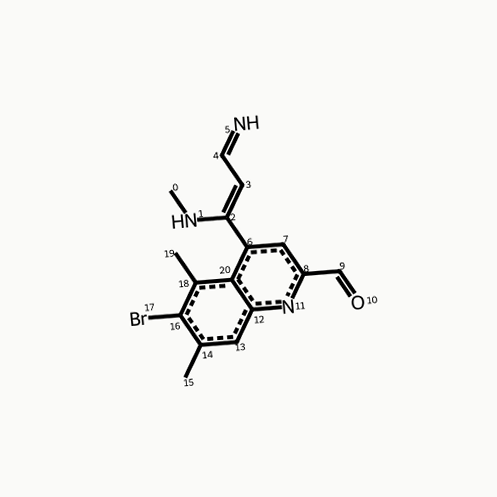 CN/C(=C\C=N)c1cc(C=O)nc2cc(C)c(Br)c(C)c12